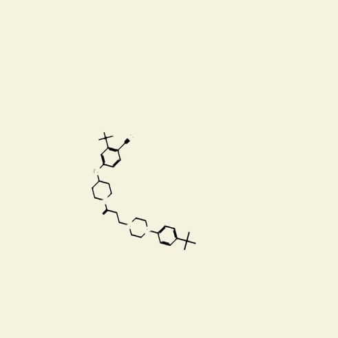 CC(C)(C)c1ccc(N2CCN(CCC(=S)N3CCC(Nc4ccc(C#N)c(C(F)(F)F)c4)CC3)CC2)cc1